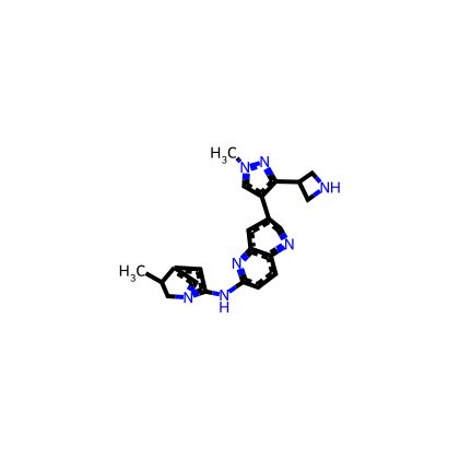 CC1Cn2cc1cc2Nc1ccc2ncc(-c3cn(C)nc3C3CNC3)cc2n1